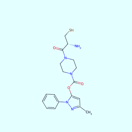 Cc1cc(OC(=O)N2CCN(C(=O)[C@@H](N)CS)CC2)n(-c2ccccc2)n1